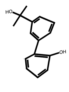 CC(C)(O)c1cccc(-c2[c]cccc2O)c1